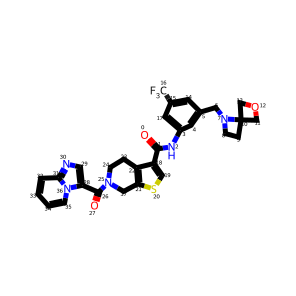 O=C(Nc1cc(CN2CCC23COC3)cc(C(F)(F)F)c1)c1csc2c1CCN(C(=O)c1cnc3ccccn13)C2